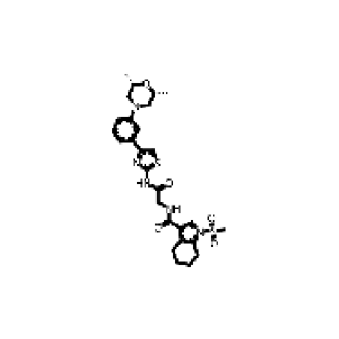 C[C@@H]1CN(c2cccc(-c3csc(NC(=O)CNC(=O)c4cn(S(C)(=O)=O)c5c4CCCC5)n3)c2)C[C@H](C)O1